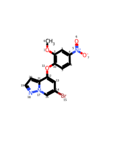 COc1cc([N+](=O)[O-])ccc1Oc1cc(Br)cn2nccc12